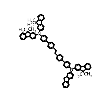 CC1(C)c2ccccc2-c2ccc(N(c3ccc(-c4ccc(/C=C/c5ccc(-c6ccc(N(c7ccc8c(c7)C(C)(C)c7ccccc7-8)c7ccc8c(c7)C(C)(C)c7ccccc7-8)cc6)cc5)cc4)cc3)c3ccc4c(c3)Cc3ccccc3-4)cc21